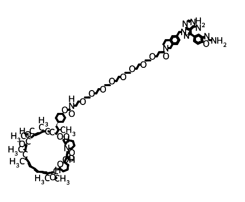 CO[C@H]1CC(=O)[C@H](C)C[C@H](C)/C=C/C=C/C=C(\C)[C@@H](OC)C[C@@H]2CCC[C@@](O)(O2)C(=O)C(=O)N2CCCC[C@H]2C(=O)O[C@H]([C@H](C)C[C@H]2CC[C@H](OC(=O)NCCOCCOCCOCCOCCOCCOCCOCCOCCC(=O)N3CCc4cc(Cn5nc(-c6ccc7oc(N)nc7c6)c6c(N)ncnc65)ccc4C3)CC2)CC[C@H](C)/C=C/1C